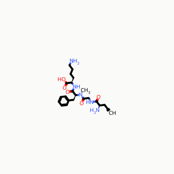 C#CC[C@@H](N)C(=O)NCC(=O)N(C)[C@@H](Cc1ccccc1)C(=O)N[C@H](CCCCN)C(=O)O